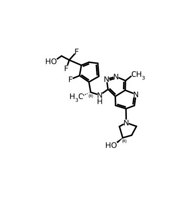 Cc1nnc(N[C@H](C)c2cccc(C(F)(F)CO)c2F)c2cc(N3CC[C@@H](O)C3)cnc12